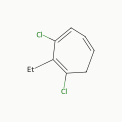 CCC1=C(Cl)CC=CC=C1Cl